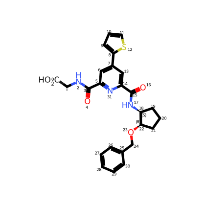 O=C(O)CNC(=O)c1cc(-c2cccs2)cc(C(=O)N[C@H]2CCC[C@H]2OCc2ccccc2)n1